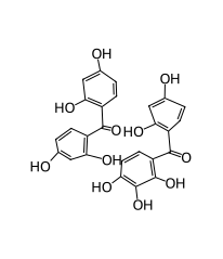 O=C(c1ccc(O)cc1O)c1ccc(O)c(O)c1O.O=C(c1ccc(O)cc1O)c1ccc(O)cc1O